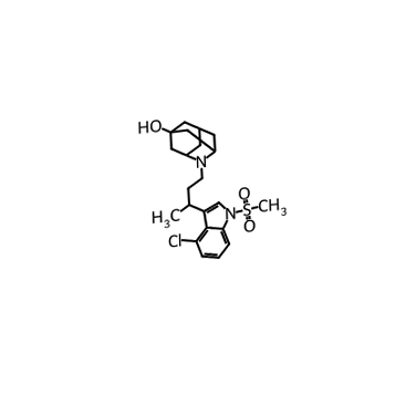 CC(CCN1C2CC3CC1CC(O)(C3)C2)c1cn(S(C)(=O)=O)c2cccc(Cl)c12